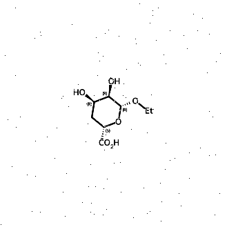 CCO[C@@H]1O[C@H](C(=O)O)C[C@@H](O)[C@H]1O